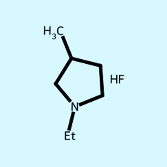 CCN1CCC(C)C1.F